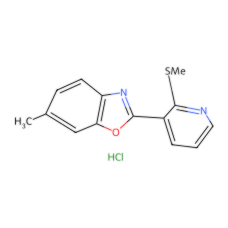 CSc1ncccc1-c1nc2ccc(C)cc2o1.Cl